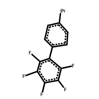 CC(C)c1ccc(-c2c(F)c(F)c(F)c(F)c2F)cc1